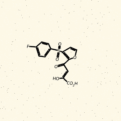 O=C(O)C(O)=CC(=O)c1occc1S(=O)(=O)c1ccc(F)cc1